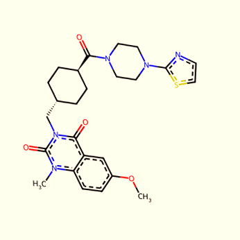 COc1ccc2c(c1)c(=O)n(C[C@H]1CC[C@H](C(=O)N3CCN(c4nccs4)CC3)CC1)c(=O)n2C